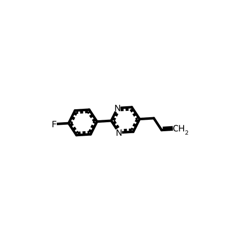 C=CCc1cnc(-c2ccc(F)cc2)nc1